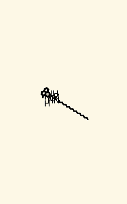 CCCCCCCCCCCCCCCCCCNC(=O)OCC1(C)Nc2cccc3ccc(C)c(c23)N1